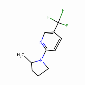 CC1CCCN1c1ccc(C(F)(F)F)cn1